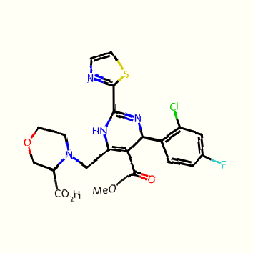 COC(=O)C1=C(CN2CCOCC2C(=O)O)NC(c2nccs2)=NC1c1ccc(F)cc1Cl